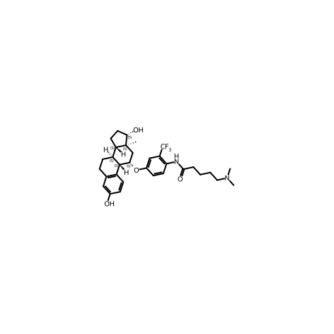 CN(C)CCCCC(=O)Nc1ccc(O[C@H]2C[C@]3(C)[C@@H](O)CC[C@H]3[C@@H]3CCc4cc(O)ccc4[C@H]32)cc1C(F)(F)F